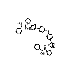 O=C([C@H](O)c1ccccc1)N1CCC[C@H]1c1nc(-c2ccc(Oc3ccc(-c4cnc([C@@H]5CCCN5C(=O)[C@H](O)c5ccccc5)[nH]4)cc3)cc2)c[nH]1